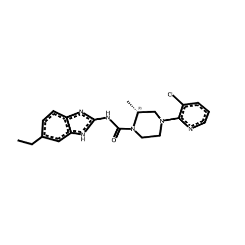 CCc1ccc2nc(NC(=O)N3CCN(c4ncccc4Cl)C[C@H]3C)[nH]c2c1